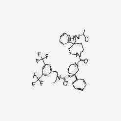 CC(=O)NC1(c2ccccc2)CCN(C(=O)N2CC[C@@H](C(=O)N(C)Cc3cc(C(F)(F)F)cc(C(F)(F)F)c3)[C@H](c3ccccc3)C2)CC1